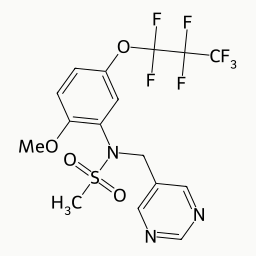 COc1ccc(OC(F)(F)C(F)(F)C(F)(F)F)cc1N(Cc1cncnc1)S(C)(=O)=O